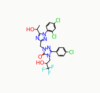 CC(O)c1nc(Cn2nc(-c3ccc(Cl)cc3)n(CC(O)C(F)(F)F)c2=O)nn1-c1ccc(Cl)cc1Cl